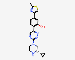 Cc1nc(-c2ccc(-c3cnc(N4CCN[C@@H](C5CC5)C4)nn3)c(O)c2)cs1